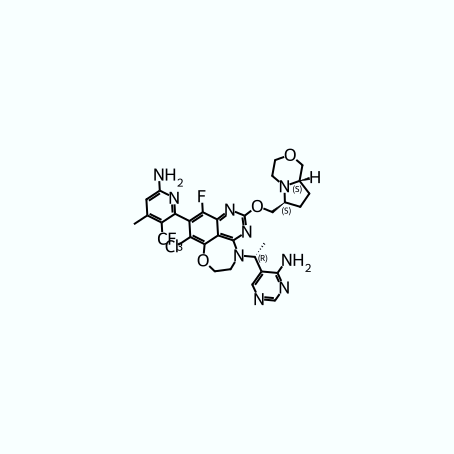 Cc1cc(N)nc(-c2c(Cl)c3c4c(nc(OC[C@@H]5CC[C@H]6COCCN65)nc4c2F)N([C@H](C)c2cncnc2N)CCO3)c1C(F)(F)F